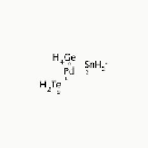 [GeH4].[Pd].[SnH2].[TeH2]